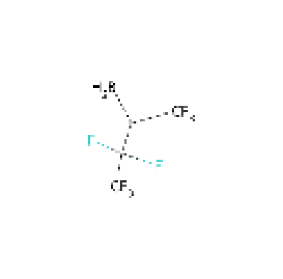 BC(C(F)(F)F)C(F)(F)C(F)(F)F